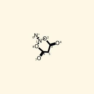 [N-]=[N+]1OC(=O)CC(=O)O1